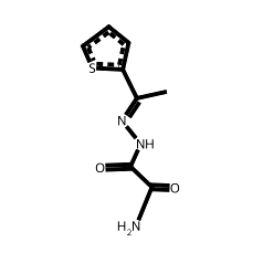 C/C(=N\NC(=O)C(N)=O)c1cccs1